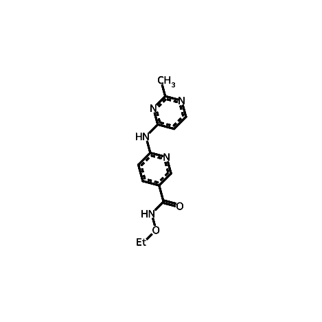 CCONC(=O)c1ccc(Nc2ccnc(C)n2)nc1